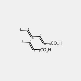 C/C=C/C(=O)O.CC=CC=CC(=O)O